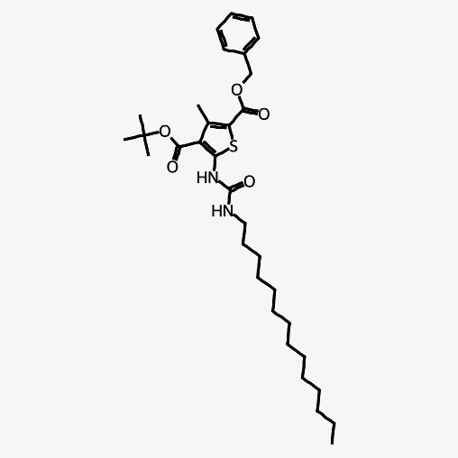 CCCCCCCCCCCCCCNC(=O)Nc1sc(C(=O)OCc2ccccc2)c(C)c1C(=O)OC(C)(C)C